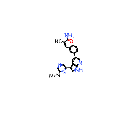 CNc1cncc(-c2c[nH]c3ncc(-c4cccc(C=C(C#N)C(N)=O)c4)cc23)n1